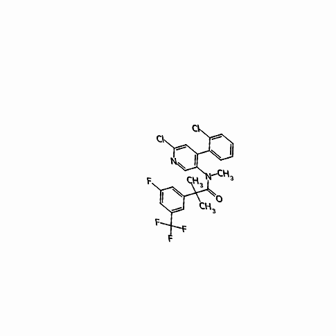 CN(C(=O)C(C)(C)c1cc(F)cc(C(F)(F)F)c1)c1cnc(Cl)cc1-c1ccccc1Cl